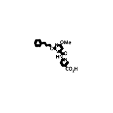 COc1cc(C(=O)Nc2ccc(C(=O)O)cn2)nc(OCCCc2ccccc2)n1